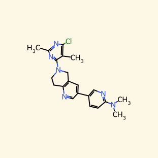 Cc1nc(Cl)c(C)c(N2CCc3ncc(-c4ccc(N(C)C)nc4)cc3C2)n1